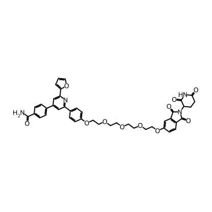 NC(=O)c1ccc(-c2cc(-c3ccc(OCCOCCOCCOCCOc4ccc5c(c4)C(=O)N(C4CCC(=O)NC4=O)C5=O)cc3)nc(-c3ccco3)c2)cc1